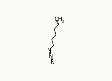 C=CCCCCN=[N+]=[N-]